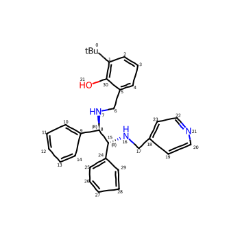 CC(C)(C)c1cccc(CN[C@H](c2ccccc2)[C@H](NCc2ccncc2)c2ccccc2)c1O